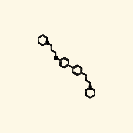 c1cc(-c2ccc(OCCCN3CCCCC3)cc2)ccc1CCCN1CCCCC1